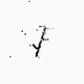 CC/C=C\CCCCOC(CCC(=O)OCCCCCCN(CCO)CCCCCCCC(=O)OCCC(CCCCC)CCCCC)OCCCC/C=C\CC